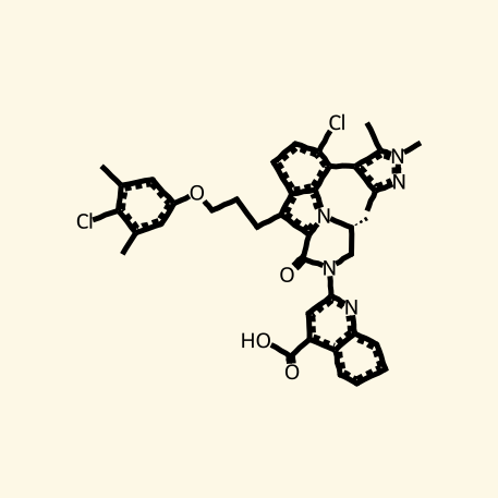 Cc1cc(OCCCc2c3n(c4c(-c5c(C)nn(C)c5C)c(Cl)ccc24)[C@H](C)CN(c2cc(C(=O)O)c4ccccc4n2)C3=O)cc(C)c1Cl